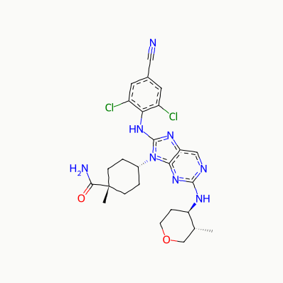 C[C@@H]1COCC[C@H]1Nc1ncc2nc(Nc3c(Cl)cc(C#N)cc3Cl)n([C@H]3CC[C@@](C)(C(N)=O)CC3)c2n1